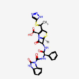 CC(Sc1cnn[nH]1)C1=C(C(=O)O)N2C(=O)C(NC(=O)C(NC(=O)n3c(=O)[nH]c4ccccc43)c3ccccc3)[C@@H]2SC1